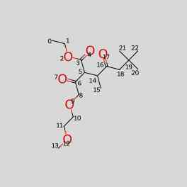 CCOC(=O)C(C(=O)COCCOC)C(C)C(=O)CC(C)(C)C